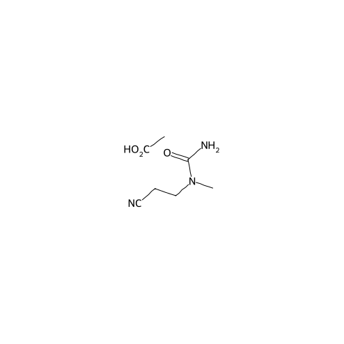 CC(=O)O.CN(CCC#N)C(N)=O